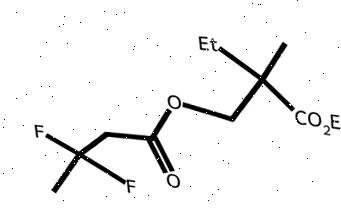 CCOC(=O)C(C)(CC)COC(=O)CC(C)(F)F